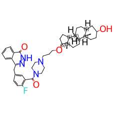 C[C@]12CCC(O)C[C@@H]1CC[C@@H]1[C@@H]2CC[C@]2(C)[C@@H](OCCCN3CCN(C(=O)c4cc(Cc5n[nH]c(=O)c6ccccc56)ccc4F)CC3)CC[C@@H]12